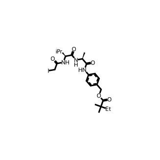 CCC(C)(C)C(=O)OCc1ccc(NC(=O)[C@H](C)NC(=O)[C@@H](NC(=O)CI)C(C)C)cc1